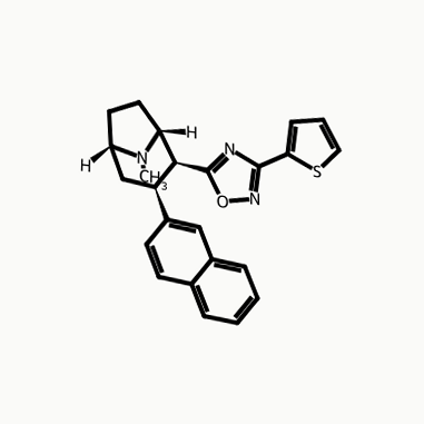 CN1[C@H]2CC[C@@H]1[C@@H](c1nc(-c3cccs3)no1)[C@@H](c1ccc3ccccc3c1)C2